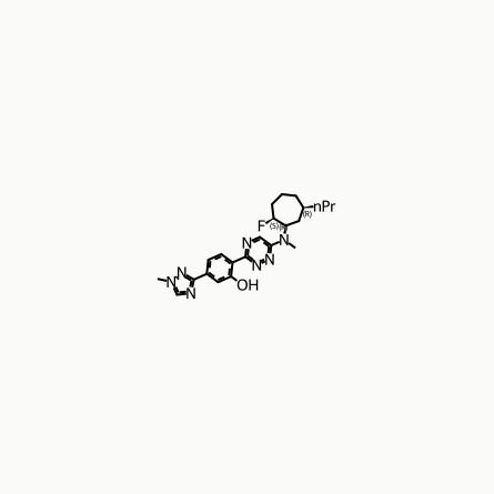 CCC[C@@H]1CCC[C@H](F)[C@H](N(C)c2cnc(-c3ccc(-c4ncn(C)n4)cc3O)nn2)C1